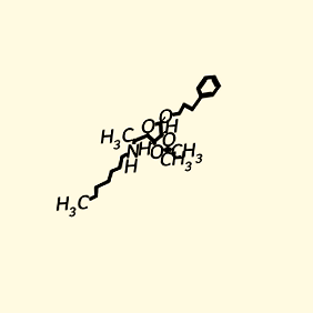 CCCCCCCN[C@@H](C)[C@H]1O[C@H](OCCCc2ccccc2)[C@H]2OC(C)(C)O[C@H]21